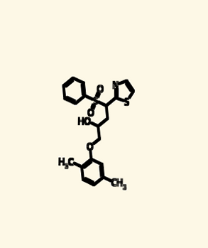 Cc1ccc(C)c(OCC(O)CC(c2nccs2)S(=O)(=O)c2ccccc2)c1